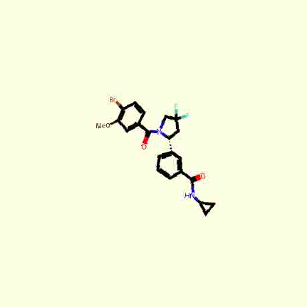 COc1cc(C(=O)N2CC(F)(F)C[C@@H]2c2cccc(C(=O)NC3CC3)c2)ccc1Br